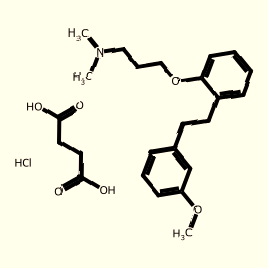 COc1cccc(CCc2ccccc2OCCCN(C)C)c1.Cl.O=C(O)CCC(=O)O